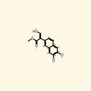 COC(=O)C(=CO)c1ccc2cc(Cl)c(Cl)cc2c1